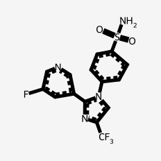 NS(=O)(=O)c1ccc(-n2cc(C(F)(F)F)nc2-c2cncc(F)c2)cc1